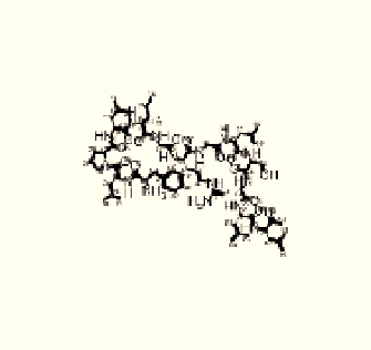 C=C(N)NCCC[C@H](NC(=O)CNC(=O)[C@@H](NC(=O)[C@H](CC(C)C)NC(=O)C1CCCN1C(=O)[C@H](CC(C)C)NC(=O)[C@@H](N)Cc1ccccc1)[C@@H](C)CC)C(=O)NCC(=O)N[C@@H](CC(C)C)C(=O)N[C@@H](CO)C(=O)NCC(=O)N[C@@H](CC(C)C)C(=O)N[C@@H](CC(C)C)C(C)=O